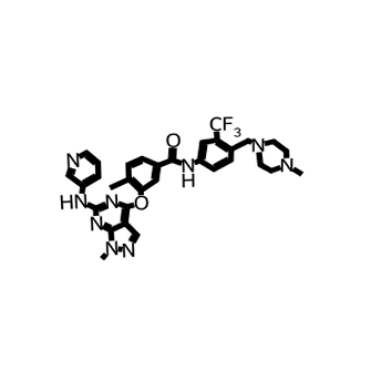 Cc1ccc(C(=O)Nc2ccc(CN3CCN(C)CC3)c(C(F)(F)F)c2)cc1Oc1nc(Nc2cccnc2)nc2c1cnn2C